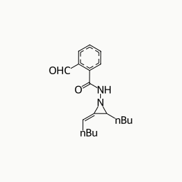 CCCC/C=C1\C(CCCC)N1NC(=O)c1ccccc1C=O